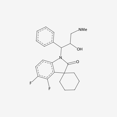 CNCC(O)C(c1ccccc1)N1C(=O)C2(CCCCC2)c2c1ccc(F)c2F